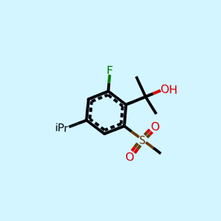 CC(C)c1cc(F)c(C(C)(C)O)c(S(C)(=O)=O)c1